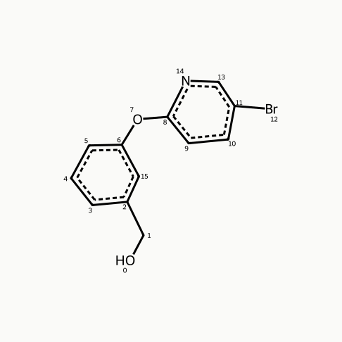 OCc1cccc(Oc2ccc(Br)cn2)c1